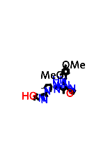 COc1ccc(CNc2nc(-c3ncco3)c(C)c3nc([C@H]4CC[C@@H](C)N(c5cnn(CC(C)(C)O)c5)C4)nn23)c(OC)c1